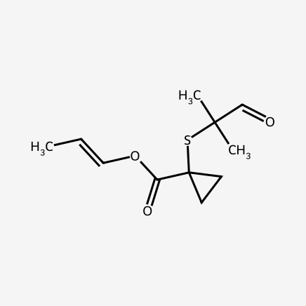 CC=COC(=O)C1(SC(C)(C)C=O)CC1